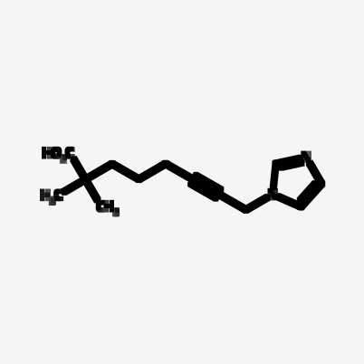 CC(C)(CCCC#CCn1ccnc1)C(=O)O